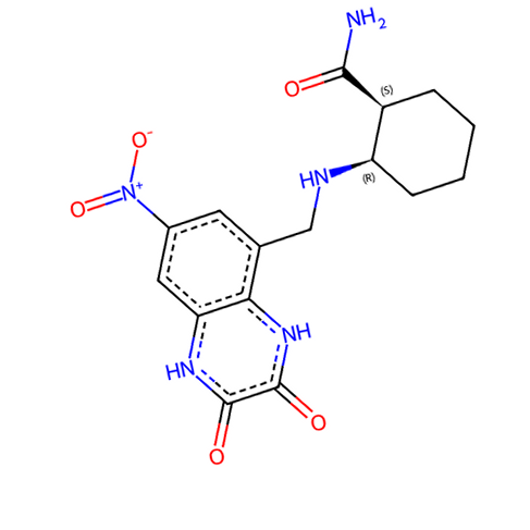 NC(=O)[C@H]1CCCC[C@H]1NCc1cc([N+](=O)[O-])cc2[nH]c(=O)c(=O)[nH]c12